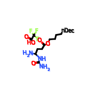 CCCCCCCCCCCCCCOC(=O)CCC(N)NC(N)=O.O=C(O)C(F)(F)F